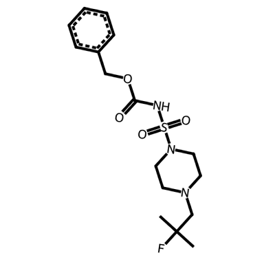 CC(C)(F)CN1CCN(S(=O)(=O)NC(=O)OCc2ccccc2)CC1